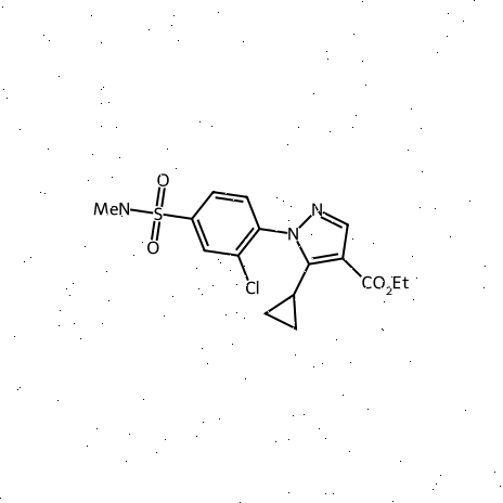 CCOC(=O)c1cnn(-c2ccc(S(=O)(=O)NC)cc2Cl)c1C1CC1